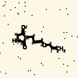 C=CCOC=CCN1C(=O)CNC1=O